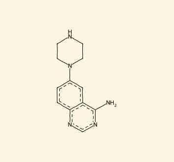 Nc1ncnc2ccc(N3CCNCC3)cc12